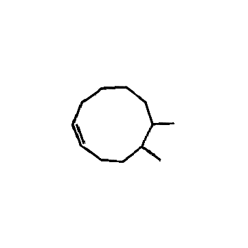 CC1CCC=CCCCCC1C